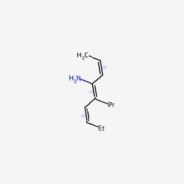 C\C=C/C(N)=C(/C=C\CC)C(C)C